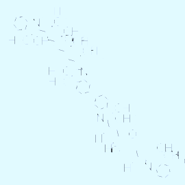 CC1(C)CC2=[N+](CC[C@H]3CC4O[C@H]5C[C@H]6CCN7C(=C6C=C5C(=O)C4C=C23)C(C)(C)c2ccc(-c3ccc4c(c3)[N+]3=C(C5=CC6=CC8=CC9=C%10N(CC[C@]9(C)C[C@]8(C)O[C@]6(C)C[C@]5(C)CC3)c3ccccc3C%10(C)C)C4(C)C)cc27)c2ccccc21